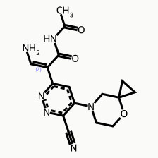 CC(=O)NC(=O)/C(=C\N)c1cc(N2CCOC3(CC3)C2)c(C#N)nn1